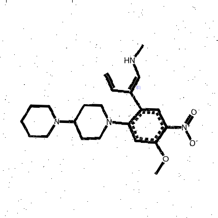 C=C/C(=C\NC)c1cc([N+](=O)[O-])c(OC)cc1N1CCC(N2CCCCC2)CC1